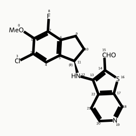 COc1c(Cl)cc2c(c1F)CC[C@H]2Nc1c(C=O)sc2cnccc12